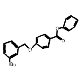 CCC(C)c1cccc(COc2ccc(C(=O)Oc3ccccc3)cc2)c1